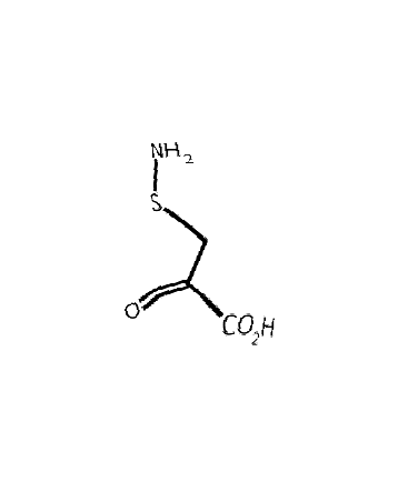 NSCC(=O)C(=O)O